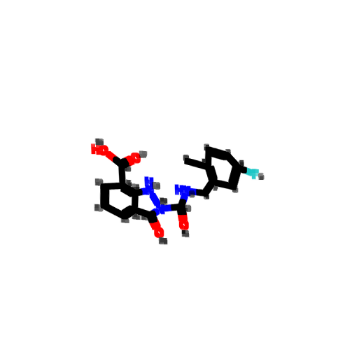 Cc1ccc(F)cc1CNC(=O)n1[nH]c2c(C(=O)O)cccc2c1=O